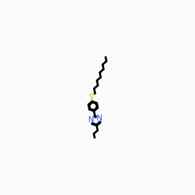 CCCCCCCCCCSc1ccc(-c2ncc(CCC)cn2)cc1